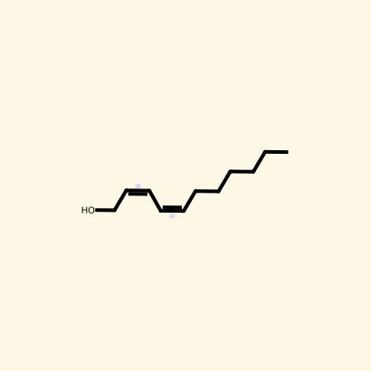 CCCCCC/C=C\C=C/CO